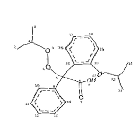 CC(C)OOC(C(=O)O)(c1ccccc1)c1ccccc1OC(C)C